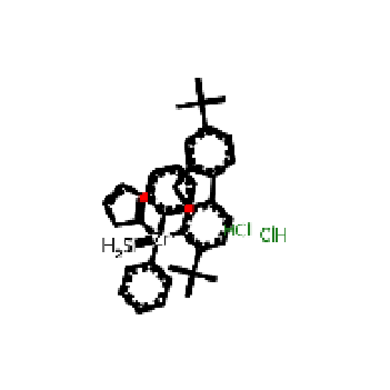 CC(C)(C)c1ccc2c(c1)Cc1c-2ccc(C(C)(C)C)[c]1[Zr](=[SiH2])([C]1=CC=CC1)([c]1ccccc1)[c]1ccccc1.Cl.Cl